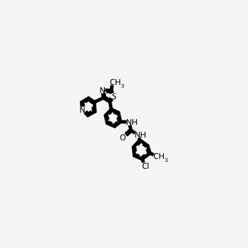 Cc1nc(-c2ccncc2)c(-c2cccc(NC(=O)Nc3ccc(Cl)c(C)c3)c2)s1